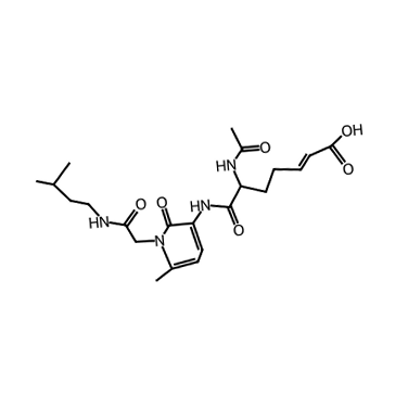 CC(=O)NC(CC/C=C/C(=O)O)C(=O)Nc1ccc(C)n(CC(=O)NCCC(C)C)c1=O